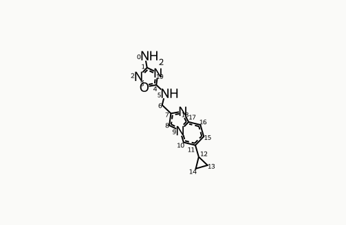 Nc1noc(NCc2cn3cc(C4CC4)ccc3n2)n1